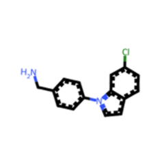 NCc1ccc(-n2ccc3ccc(Cl)cc32)cc1